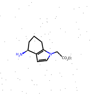 CCOC(=O)Cn1ccc2c1CCC[C@@H]2N